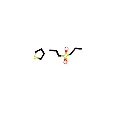 C1CCSC1.CCCS(=O)(=O)CCC